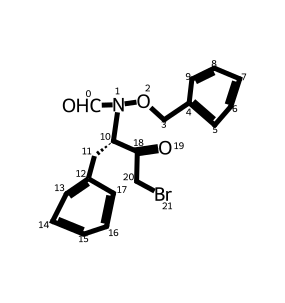 O=CN(OCc1ccccc1)[C@@H](Cc1ccccc1)C(=O)CBr